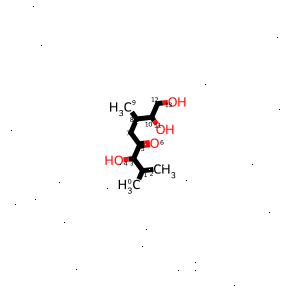 CC(C)C(O)C(=O)CC(C)C(O)CO